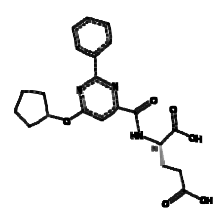 O=C(O)CC[C@H](NC(=O)c1cc(OC2CCCC2)nc(-c2ccccc2)n1)C(=O)O